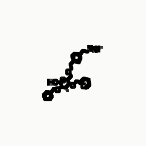 C[C@@H]1C(OCc2ccccc2)C(O)OC(COCCc2ccc(CCN=[N+]=[N-])cc2)[C@@H]1OCc1ccccc1